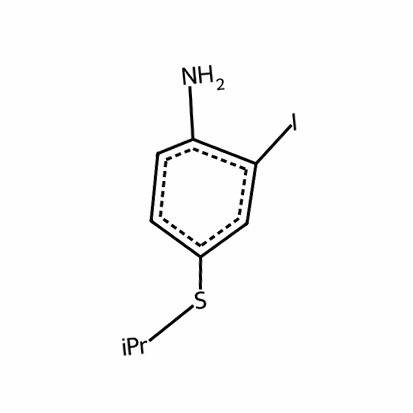 CC(C)Sc1ccc(N)c(I)c1